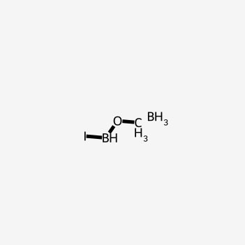 B.COBI